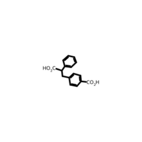 O=C(O)c1ccc(CC(C(=O)O)c2ccccc2)cc1